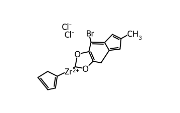 CC1=CC2=C(Br)C3=C(CC2=C1)O[CH]([Zr+2][C]1=CC=CC1)O3.[Cl-].[Cl-]